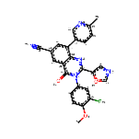 COc1ccc(-n2c(-c3cnco3)nc3c(-c4ccc(C)nc4)cc(C#N)cc3c2=O)cc1F